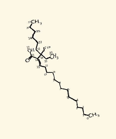 CCCCCCCCCCCCCC=C(C(=O)O)C(F)(CC)CCCCCC